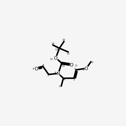 COC=CC(C)N(CC=O)C(=O)OC(C)(C)C